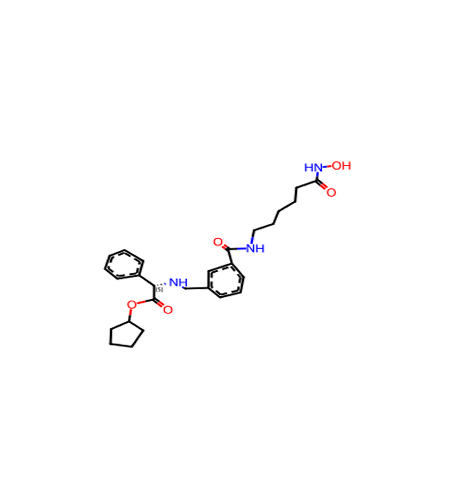 O=C(CCCCCNC(=O)c1cccc(CN[C@H](C(=O)OC2CCCC2)c2ccccc2)c1)NO